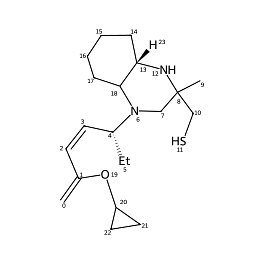 C=C(/C=C\[C@@H](CC)N1CC(C)(CS)N[C@H]2CCCCC21)OC1CC1